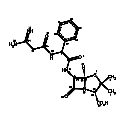 CC1(C)S[C@@H]2[C@H](NC(=O)C(NC(=O)CC(=N)N)c3ccccc3)C(=O)N2[C@H]1C(=O)O